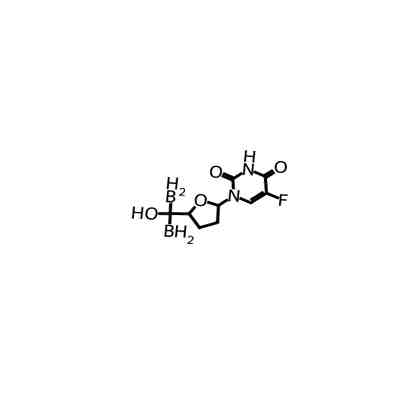 BC(B)(O)C1CCC(n2cc(F)c(=O)[nH]c2=O)O1